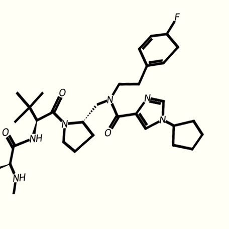 CN[C@@H](C)C(=O)N[C@H](C(=O)N1CCC[C@H]1CN(CCC1=CCC(F)C=C1)C(=O)c1cn(C2CCCC2)cn1)C(C)(C)C